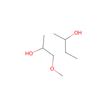 CCC(C)O.COCC(C)O